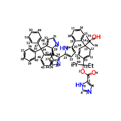 CCC(OC(=O)c1cnc[nH]1)(C1=CCC(c2ccccc2-c2ccc(C3=NC=CC3=C3N=CC=C3C(c3ccccc3)(c3ccccc3)c3ccccc3)[nH]2)(C(C)(C)O)C=C1)C(C)C